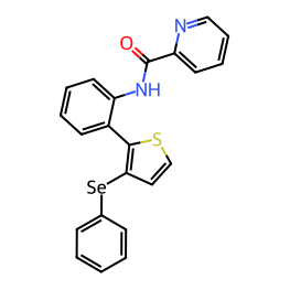 O=C(Nc1ccccc1-c1sccc1[Se]c1ccccc1)c1ccccn1